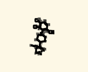 Cn1cnnc1C1CCN(c2c(C#N)ccc(Cl)c2Cl)CC1